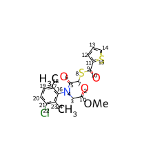 COC(=O)CN(C(=O)CSC(=O)c1cccs1)c1c(C)ccc(Cl)c1C